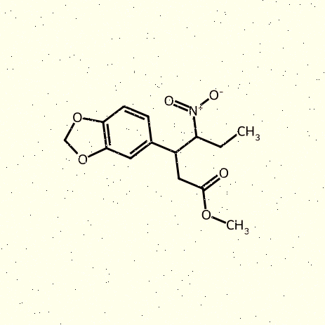 CCC(C(CC(=O)OC)c1ccc2c(c1)OCO2)[N+](=O)[O-]